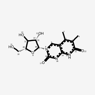 Cc1c(C)c2cn([C@@H]3O[C@H](CO)C(O)[C@@H]3O)c(=O)nc2[nH]c1=O